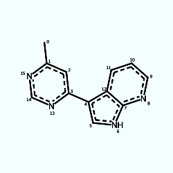 Cc1cc(-c2c[nH]c3ncccc23)ncn1